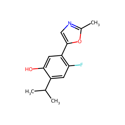 Cc1ncc(-c2cc(O)c(C(C)C)cc2F)o1